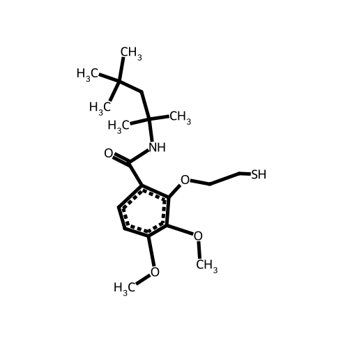 COc1ccc(C(=O)NC(C)(C)CC(C)(C)C)c(OCCS)c1OC